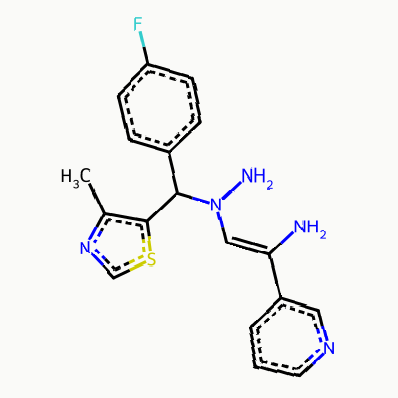 Cc1ncsc1C(c1ccc(F)cc1)N(N)/C=C(\N)c1cccnc1